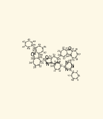 c1ccc(-c2nc(-c3ccccc3)nc(-c3cccc4oc5ccc(-c6ccc7nc(-c8cccc9oc%10c(-c%11ccccc%11)cccc%10c89)oc7c6)cc5c34)n2)cc1